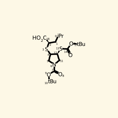 CC(C)C[C@@H](SC1CN(C(=O)OC(C)(C)C)C[C@@H]1SC(=O)OC(C)(C)C)C(=O)O